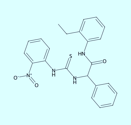 CCc1ccccc1NC(=O)C(NC(=S)Nc1ccccc1[N+](=O)[O-])c1ccccc1